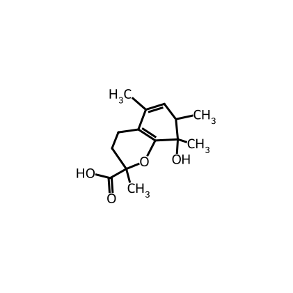 CC1=CC(C)C(C)(O)C2=C1CCC(C)(C(=O)O)O2